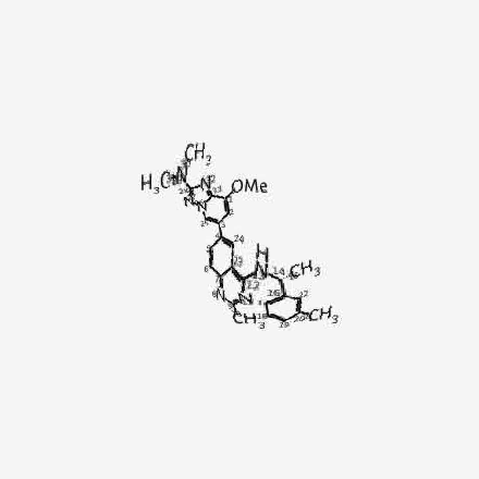 COc1cc(-c2ccc3nc(C)nc(N[C@H](C)c4cccc(C)c4)c3c2)cn2nc(N(C)C)nc12